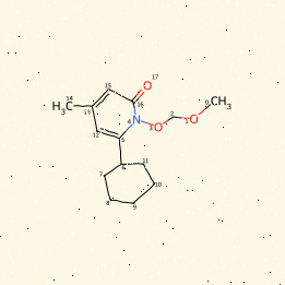 COCOn1c(C2CCCCC2)cc(C)cc1=O